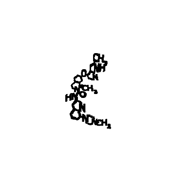 Cc1cc2c(Oc3ccc4c(c3)[C@H](C)N(C(=O)Nc3cnc5c(N6CCN(C)CC6)cccc5c3)CC4)ccnc2[nH]1